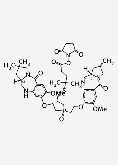 C=C1C[C@H]2C=Nc3cc(OCCP(=O)(CCOc4cc5c(cc4OC)C(=O)N4CC(C)(C)C[C@H]4CN5)CCSSC(C)(C)CCC(=O)ON4C(=O)CCC4=O)c(OC)cc3C(=O)N2C1